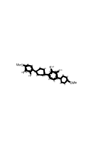 COc1ccc(C2CCC(c3ccc(C4CCC(OC)CC4)c(F)c3F)CC2)c(F)c1F